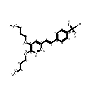 CCCCOc1cc(/C=C/c2ccc(C(F)(F)F)cc2)nnc1OCCCC